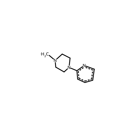 [CH2]N1CCN(c2ccccn2)CC1